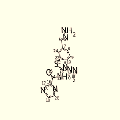 C#N.C#N.NN=Cc1ccc2nc(NC(=O)c3cnccn3)sc2c1